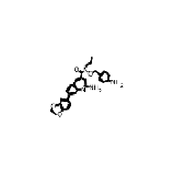 CCCN(OCc1ccc(N)cc1)C(=O)C1=Cc2ccc(-c3ccc4c(c3)OCCO4)cc2N=C(N)C1